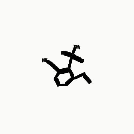 C=Cc1cccc(S)c1S(=O)(=O)O